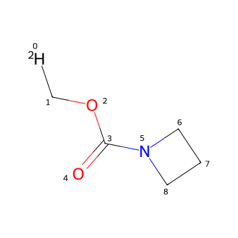 [2H]COC(=O)N1CCC1